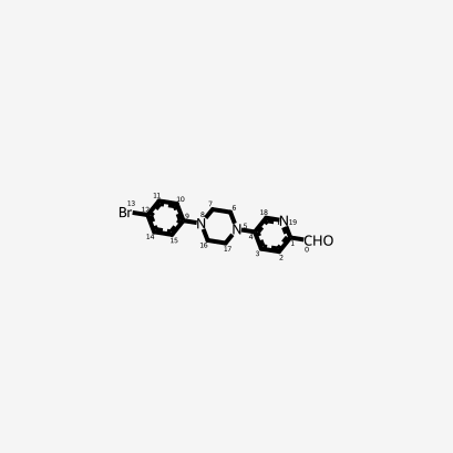 O=Cc1ccc(N2CCN(c3ccc(Br)cc3)CC2)cn1